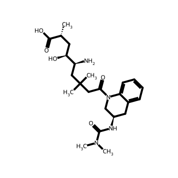 C[C@H](C[C@H](O)[C@@H](N)CC(C)(C)CC(=O)N1C[C@H](NC(=O)N(C)C)Cc2ccccc21)C(=O)O